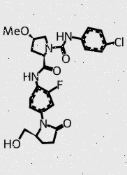 CO[C@@H]1C[C@H](C(=O)Nc2ccc(N3C(=O)CC[C@H]3CO)cc2F)N(C(=O)Nc2ccc(Cl)cc2)C1